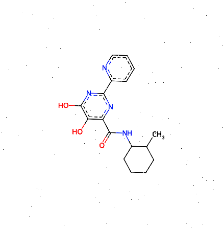 CC1CCCCC1NC(=O)c1nc(-c2ccccn2)nc(O)c1O